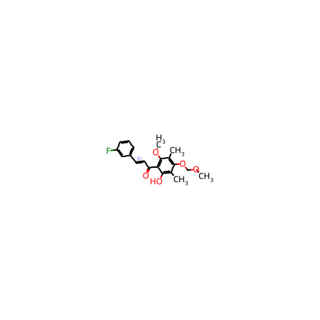 COCOc1c(C)c(O)c(C(=O)/C=C/c2cccc(F)c2)c(OC)c1C